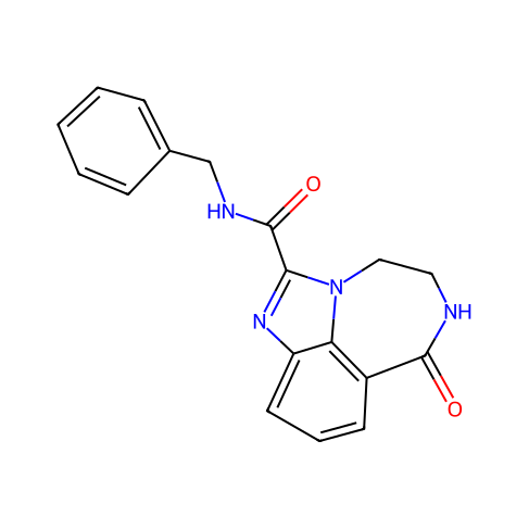 O=C1NCCn2c(C(=O)NCc3ccccc3)nc3cccc1c32